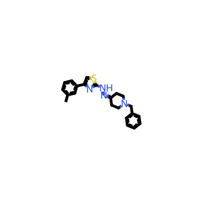 Cc1cccc(-c2csc(NN=C3CCN(Cc4ccccc4)CC3)n2)c1